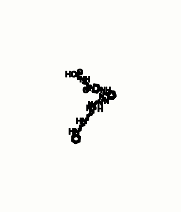 O=C(O)CNCCC(=O)N1CCC(Nc2nc(NCc3cn(CCCNCCCNC4CCCCC4)nn3)nc3ccccc23)CC1